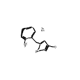 Sc1ccccc1-c1cc(Cl)cs1.[Zn]